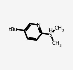 C[SH](C)c1ccc(C(C)(C)C)cn1